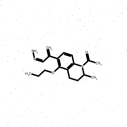 C=C(/C=N\N)c1ccc2c(c1OCCC)CCC(C)N2C(C)=O